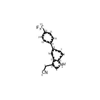 N#CCc1c[nH]c2ccc(-c3ccc(C(F)(F)F)cc3)cc12